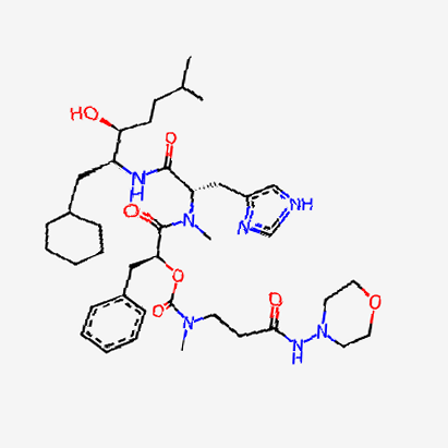 CC(C)CC[C@H](O)[C@H](CC1CCCCC1)NC(=O)[C@H](Cc1c[nH]cn1)N(C)C(=O)[C@H](Cc1ccccc1)OC(=O)N(C)CCC(=O)NN1CCOCC1